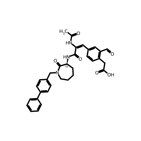 CC(=O)NC(=Cc1ccc(CC(=O)O)c(C=O)c1)C(=O)N[C@H]1CCCCN(Cc2ccc(-c3ccccc3)cc2)C1=O